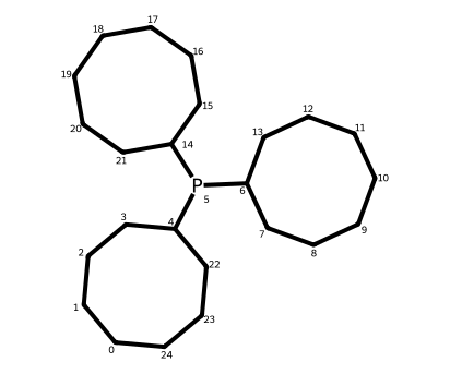 C1CCCC(P(C2CCCCCCC2)C2CCCCCCC2)CCC1